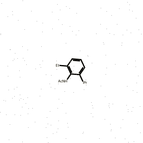 CCc1cccc(C(C)C)c1NC(C)=O